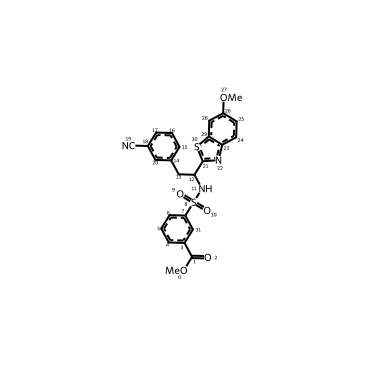 COC(=O)c1cccc(S(=O)(=O)NC(Cc2cccc(C#N)c2)c2nc3ccc(OC)cc3s2)c1